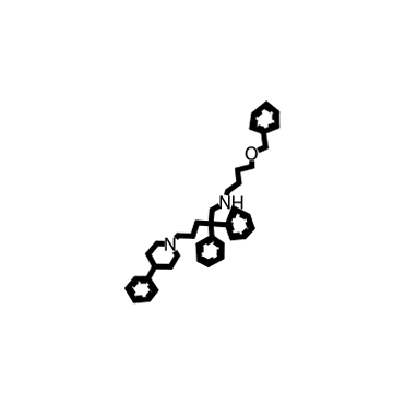 c1ccc(COCCCCNCC(CCCN2CCC(c3ccccc3)CC2)(c2ccccc2)c2ccccc2)cc1